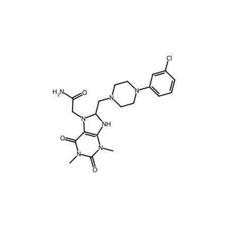 Cn1c2c(c(=O)n(C)c1=O)N(CC(N)=O)C(CN1CCN(c3cccc(Cl)c3)CC1)N2